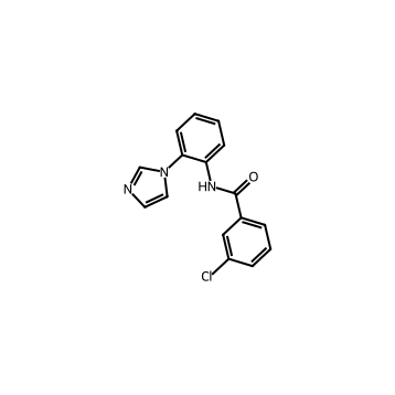 O=C(Nc1ccccc1-n1ccnc1)c1cccc(Cl)c1